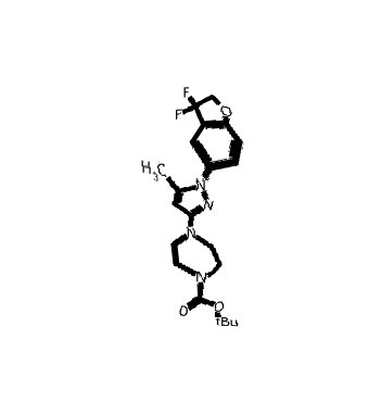 Cc1cc(N2CCN(C(=O)OC(C)(C)C)CC2)nn1-c1ccc2c(c1)C(F)(F)CO2